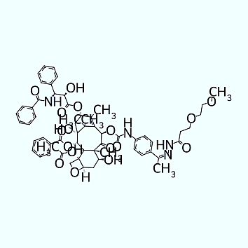 COCCOCCC(=O)N/N=C(/C)c1ccc(NC(=O)O[C@H]2C(=O)[C@@]3(C)[C@H]([C@H](OC(=O)c4ccccc4)[C@@]4(O)C[C@H](OC(=O)[C@H](O)[C@@H](NC(=O)c5ccccc5)c5ccccc5)C(C)=C2C4(C)C)[C@]2(OC(C)=O)CO[C@@H]2C[C@@H]3O)cc1